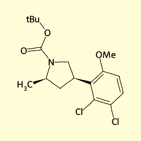 COc1ccc(Cl)c(Cl)c1[C@H]1C[C@@H](C)N(C(=O)OC(C)(C)C)C1